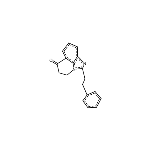 O=C1CCn2c(CCc3ccccc3)nc3cccc1c32